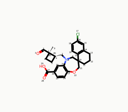 C[C@@]1(C=O)CC[C@H]1CN1CC2(CCCc3cc(Cl)ccc32)COc2ccc(C(=O)O)cc21